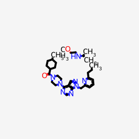 CCCc1cccc(Cn2ncc3c(N4CCN(C(=O)C5CCC(C)CC5)CC4)ncnc32)n1.COCCNC(C)C